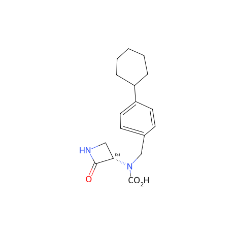 O=C1NC[C@@H]1N(Cc1ccc(C2CCCCC2)cc1)C(=O)O